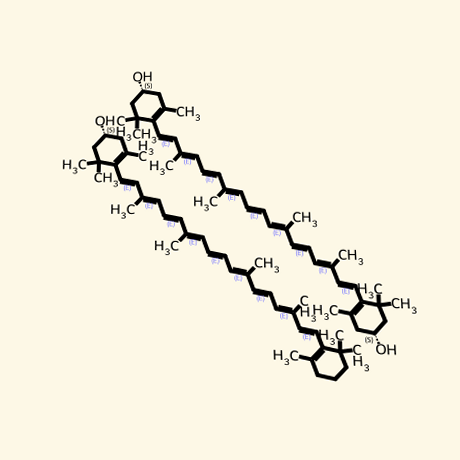 CC1=C(/C=C/C(C)=C/C=C/C(C)=C/C=C/C=C(C)/C=C/C=C(C)/C=C/C2=C(C)C[C@@H](O)CC2(C)C)C(C)(C)CCC1.CC1=C(/C=C/C(C)=C/C=C/C(C)=C/C=C/C=C(C)/C=C/C=C(C)/C=C/C2=C(C)C[C@@H](O)CC2(C)C)C(C)(C)C[C@H](O)C1